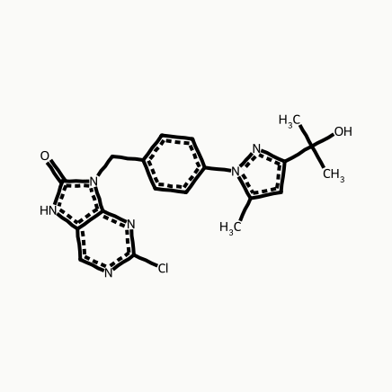 Cc1cc(C(C)(C)O)nn1-c1ccc(Cn2c(=O)[nH]c3cnc(Cl)nc32)cc1